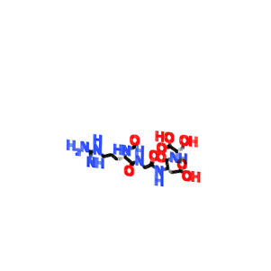 N=C(N)NCCC[C@H](NC=O)C(=O)NCC(=O)N[C@@H](CC(=O)O)C(=O)N[C@@H](CO)C(=O)O